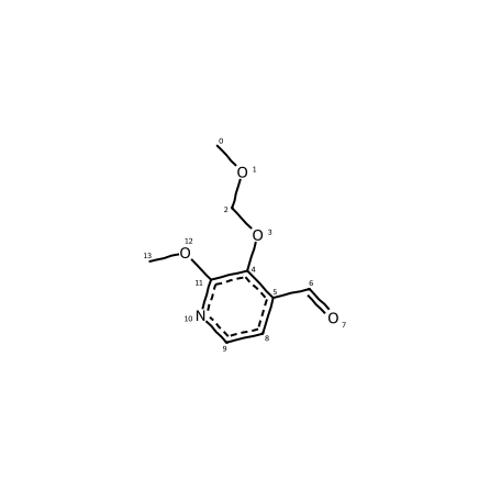 COCOc1c(C=O)ccnc1OC